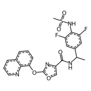 CC(NC(=O)c1coc(Oc2cccc3cccnc23)n1)c1cc(F)c(NS(C)(=O)=O)c(F)c1